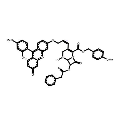 COc1ccc(COC(=O)C2=C(/C=C\COc3ccc4c(-c5ccc(OC)cc5C)c5ccc(=O)cc-5oc4c3)C[S+]([O-])C3C(NC(=O)Cc4ccccc4)C(=O)N23)cc1